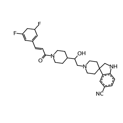 N#Cc1ccc2c(c1)C1(CCN(CC(O)C3CCN(C(=O)/C=C/C4=CC(F)CC(F)=C4)CC3)CC1)CN2